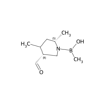 CB(O)N1C[C@H](C=O)C(C)C[C@@H]1C